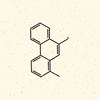 [CH2]c1cccc2c1cc(F)c1ccccc12